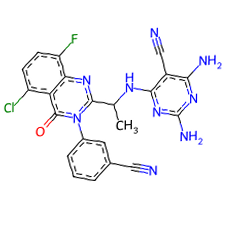 CC(Nc1nc(N)nc(N)c1C#N)c1nc2c(F)ccc(Cl)c2c(=O)n1-c1cccc(C#N)c1